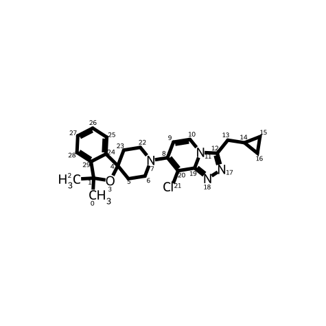 CC1(C)OC2(CCN(c3ccn4c(CC5CC5)nnc4c3Cl)CC2)c2ccccc21